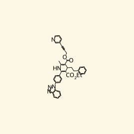 CCOC(=O)C1=C(c2ccc(-n3nnc4ccccc43)cc2)NC(C)=C(C(=O)OCC#Cc2cccnc2)C1CCc1ccccc1